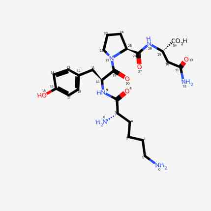 NCCCC[C@H](N)C(=O)N[C@@H](Cc1ccc(O)cc1)C(=O)N1CCC[C@H]1C(=O)N[C@@H](CC(N)=O)C(=O)O